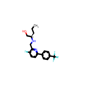 CCC[C@H](CO)NCc1nc(-c2ccc(C(F)(F)F)cc2)ccc1F